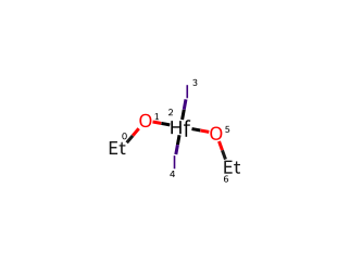 CC[O][Hf]([I])([I])[O]CC